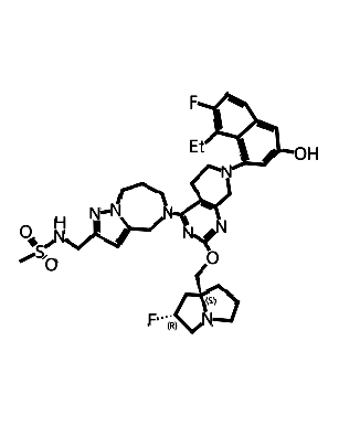 CCc1c(F)ccc2cc(O)cc(N3CCc4c(nc(OC[C@@]56CCCN5C[C@H](F)C6)nc4N4CCCn5nc(CNS(C)(=O)=O)cc5C4)C3)c12